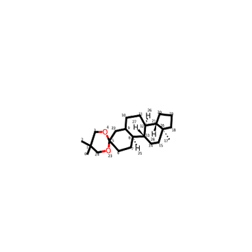 CC1(C)COC2(CC[C@H]3C(CC[C@@H]4[C@@H]3CC[C@]3(C)CCC[C@@H]43)C2)OC1